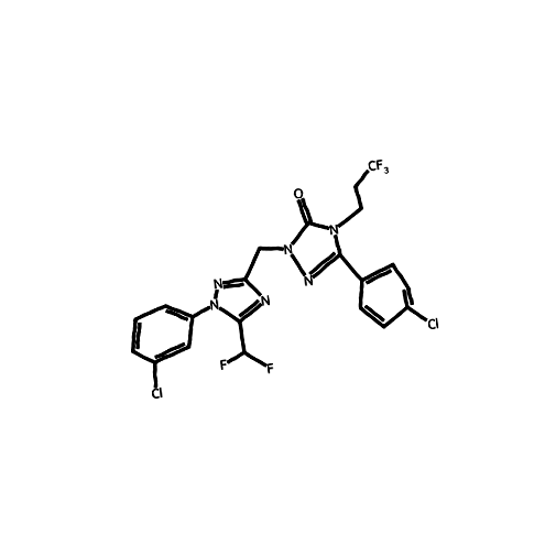 O=c1n(Cc2nc(C(F)F)n(-c3cccc(Cl)c3)n2)nc(-c2ccc(Cl)cc2)n1CCC(F)(F)F